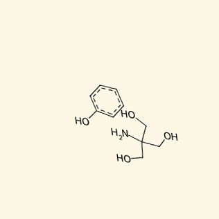 NC(CO)(CO)CO.Oc1ccccc1